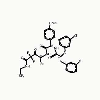 COc1ccc([C@H](NC(=O)[C@@H](Cc2cccc(F)c2)Oc2cccc(Cl)c2)C(=O)N[C@H](C(=O)C(F)(F)C(=O)NCC(F)(F)F)C(C)C)cc1